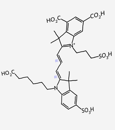 CC1(C)C(/C=C/C=C2/N(CCCCCC(=O)O)c3ccc(S(=O)(=O)O)cc3C2(C)C)=[N+](CCCS(=O)(=O)O)c2cc(C(=O)O)cc(C(=O)O)c21